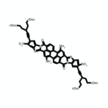 CCCCCCCCCCCCC(C#Cc1cc2c(cc1[N+](=O)[O-])nc1c3cc(N)c4c5ccc6c(=O)n7c8cc(C#CC(CCCCCCCCCCCC)CCCCCCCCCCCC)c([N+](=O)[O-])cc8nc7c7cc(N)c(c8ccc(c(=O)n21)c3c84)c5c67)CCCCCCCCCCCC